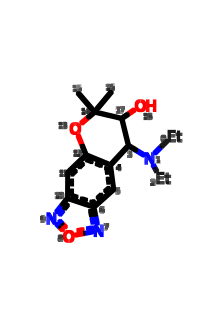 CCN(CC)C1c2cc3nonc3cc2OC(C)(C)C1O